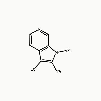 CCc1c(C(C)C)n(C(C)C)c2cnccc12